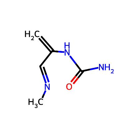 C=C(C=NC)NC(N)=O